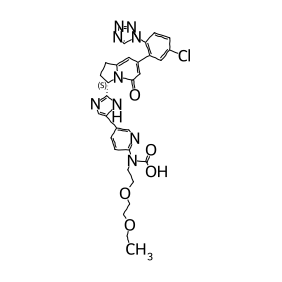 CCOCCOCCN(C(=O)O)c1ccc(-c2cnc([C@@H]3CCc4cc(-c5cc(Cl)ccc5-n5cnnn5)cc(=O)n43)[nH]2)cn1